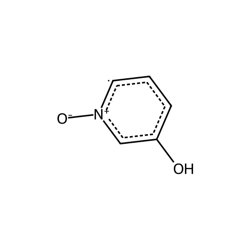 [O-][n+]1[c]ccc(O)c1